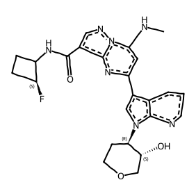 CNc1cc(-c2cn([C@@H]3CCOC[C@H]3O)c3ncccc23)nc2c(C(=O)NC3CC[C@@H]3F)cnn12